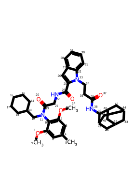 COc1cc(C)cc(OC)c1N(CC1CCCCC1)C(=O)CNC(=O)c1cc2ccccc2n1CCC(=O)NC1C2CC3CC(C2)CC1C3